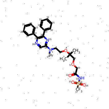 CC(C)N(CCOC(C)(C)COCC(=O)NS(=O)(=O)C(F)(F)F)c1cnc(-c2ccccc2)c(-c2ccccc2)n1